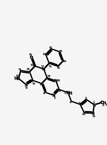 Cn1cc(CNc2ncc3c4n[nH]cc4c(=O)n(-c4ccccc4)c3n2)cn1